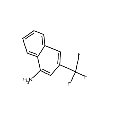 Nc1cc(C(F)(F)F)cc2ccccc12